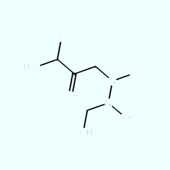 C=C(CN(C)N(C)CO)C(C)C